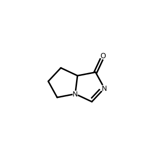 O=C1N=CN2CCCC12